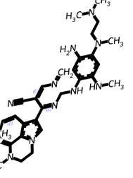 C=N/C=C(C#N)\C(=N/CNc1cc(N)c(N(C)CCN(C)C)cc1NC)c1cn2c(c1/C=C\C)C(=C)N(C)CC2